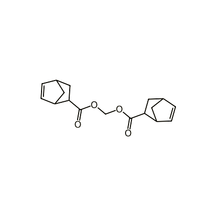 O=C(OCOC(=O)C1CC2C=CC1C2)C1CC2C=CC1C2